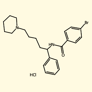 Cl.O=C(NC(CCCCN1CCCCC1)c1ccccc1)c1ccc(Br)cc1